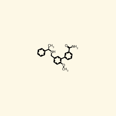 COc1ccc(CN[C@H](C)c2ccccc2)cc1-c1cccc(C(N)=O)c1